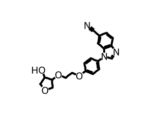 N#Cc1ccc2ncn(-c3ccc(OCCOC4COCC4O)cc3)c2c1